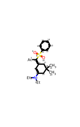 CCN(CC)C1=C/C(=C(\C(C)=O)S(=O)(=O)c2ccccc2)CC(C)(C)C1